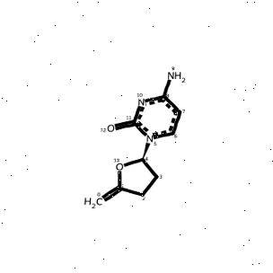 C=C1CC[C@H](n2ccc(N)nc2=O)O1